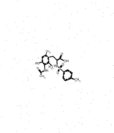 CC(=O)Nc1c(O)cc(C)c(CC(NS(=O)(=O)c2ccc(C)cc2)C(=O)O)c1C